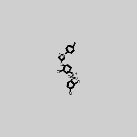 O=S(=O)(Nc1ccc(Oc2cnn(-c3ccc(F)cc3)c2)c(Cl)c1)c1ccc(Cl)cc1Cl